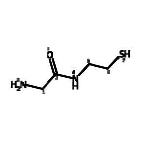 NCC(=O)NCCS